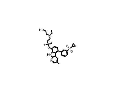 CCN(CCO)CCC(F)(F)Oc1ccc(-c2cccc(S(=O)(=O)C3CC3)c2)c2c1[nH]c1ncc(C)cc12